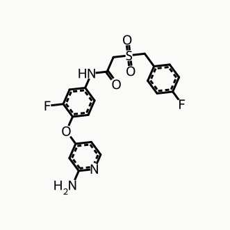 Nc1cc(Oc2ccc(NC(=O)CS(=O)(=O)Cc3ccc(F)cc3)cc2F)ccn1